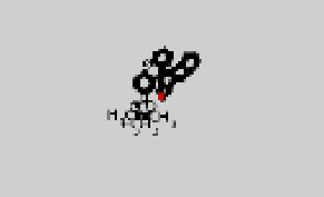 CC1(C)OB(c2ccc3c(c2)C2(c4ccccc4S3)c3ccccc3-c3cc4ccccc4cc32)OC1(C)C